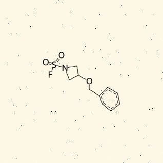 O=S(=O)(F)N1CC(OCc2ccccc2)C1